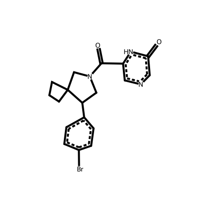 O=C(c1cncc(=O)[nH]1)N1CC(c2ccc(Br)cc2)C2(CCC2)C1